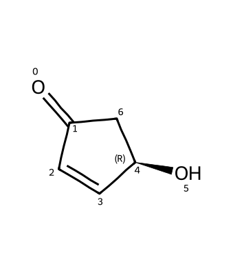 O=C1C=C[C@H](O)C1